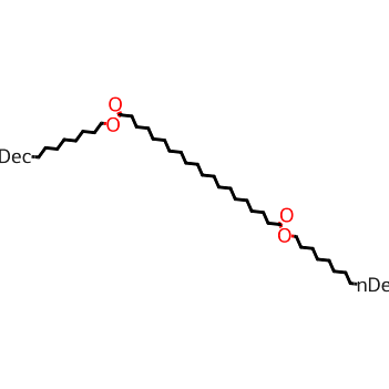 CCCCCCCCCCCCCCCCCCOC(=O)CCCCCCCCCCCCCCCCCCC(=O)OCCCCCCCCCCCCCCCCCC